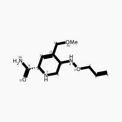 C=CCONC1CN[C@H](C(N)=O)C=C1COC